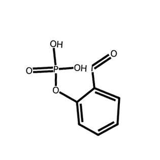 O=Ic1ccccc1OP(=O)(O)O